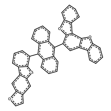 c1ccc2c(c1)oc1c2cc(-c2c3ccccc3c(-c3cccc4c3sc3cc5ccoc5cc34)c3ccccc23)c2oc3ccccc3c21